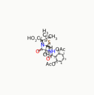 CC(=O)Oc1cccc(OC(C)=O)c1C(=O)NC1(C)C(=O)N2[C@@H](C(=O)O)C(C)(C)S[C@@H]21